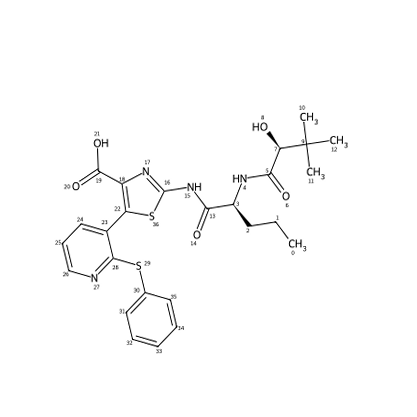 CCC[C@H](NC(=O)[C@@H](O)C(C)(C)C)C(=O)Nc1nc(C(=O)O)c(-c2cccnc2Sc2ccccc2)s1